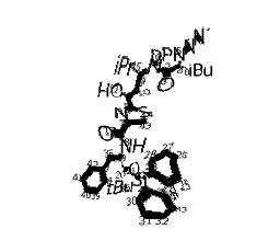 CCCN(C(=O)[C@@H](N=[N+]=[N-])[C@@H](C)CC)[C@H](C[C@@H](O)c1nc(C(=O)N[C@H](CO[Si](c2ccccc2)(c2ccccc2)C(C)(C)C)Cc2ccccc2)cs1)C(C)C